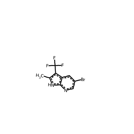 Cc1[nH]c2ncc(Br)cc2c1C(F)(F)F